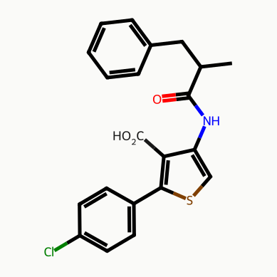 CC(Cc1ccccc1)C(=O)Nc1csc(-c2ccc(Cl)cc2)c1C(=O)O